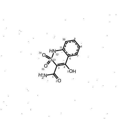 NC(=O)C1=C(O)c2ccccc2NS1(=O)=O